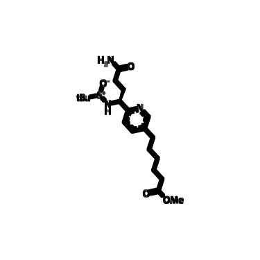 COC(=O)CCCCCc1ccc([C@H](CCC(N)=O)N[S+]([O-])C(C)(C)C)nc1